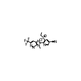 CCS(=O)(=O)c1cc(C#N)cnc1-c1nc2cc(C(F)(F)F)nnc2n1C